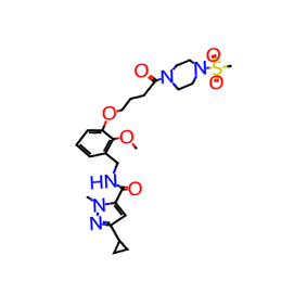 COc1c(CNC(=O)c2cc(C3CC3)nn2C)cccc1OCCCC(=O)N1CCN(S(C)(=O)=O)CC1